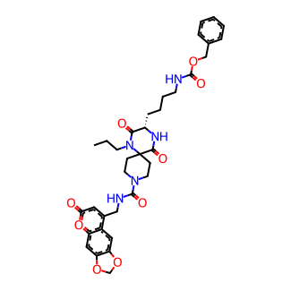 CCCN1C(=O)[C@H](CCCCNC(=O)OCc2ccccc2)NC(=O)C12CCN(C(=O)NCc1cc(=O)oc3cc4c(cc13)OCO4)CC2